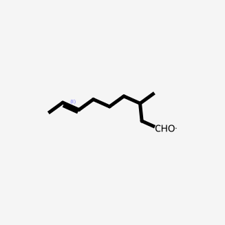 C/C=C/CCCC(C)C[C]=O